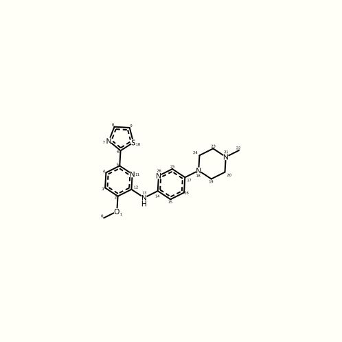 COc1ccc(-c2nccs2)nc1Nc1ccc(N2CCN(C)CC2)cn1